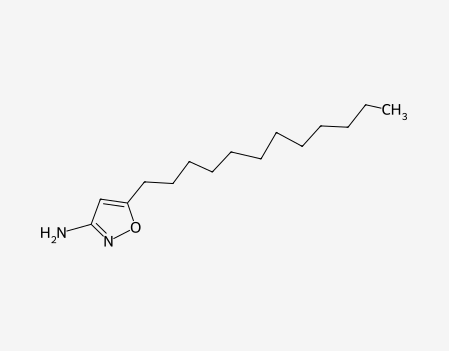 CCCCCCCCCCCCc1cc(N)no1